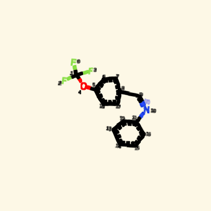 FC(F)(F)Oc1ccc(/C=N\c2ccccc2)cc1